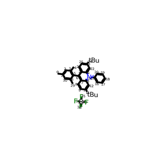 Cc1cc(C)c(-c2c3ccc(C(C)(C)C)cc3[n+](-c3ccccc3)c3cc(C(C)(C)C)ccc23)c(C)c1.F[B-](F)(F)F